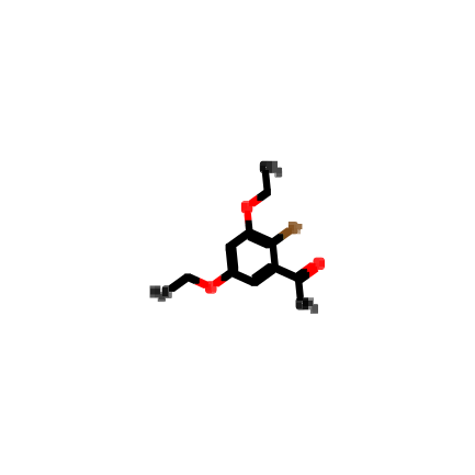 CCOc1cc(OCC)c(Br)c(C(C)=O)c1